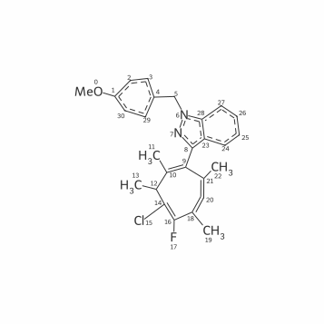 COc1ccc(Cn2nc(/C3=C(\C)C(C)/C(Cl)=C(/F)C(C)=C=C3C)c3ccccc32)cc1